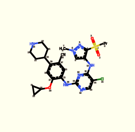 CC(C)S(=O)(=O)c1nn(C)cc1Nc1nc(Nc2cc(C#N)c(C3CCNCC3)cc2OC2CC2)ncc1Cl